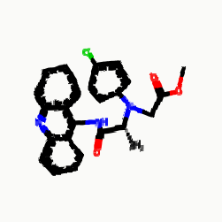 B[C@H](C(=O)Nc1c2ccccc2nc2ccccc12)N(CC(=O)OC)c1ccc(Cl)cc1